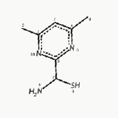 Cc1cc(C)nc(C(N)S)n1